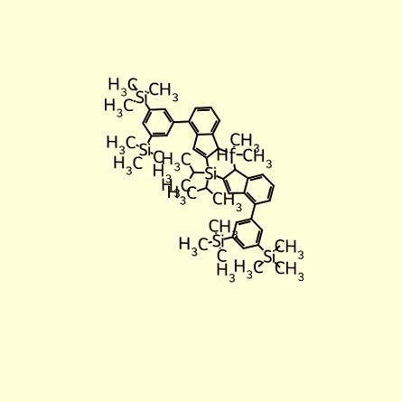 CC(C)[Si]1(C(C)C)C2=Cc3c(-c4cc([Si](C)(C)C)cc([Si](C)(C)C)c4)cccc3[CH]2[Hf]([CH3])([CH3])[CH]2C1=Cc1c(-c3cc([Si](C)(C)C)cc([Si](C)(C)C)c3)cccc12